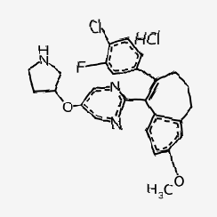 COc1ccc2c(c1)CCCC(c1ccc(Cl)c(F)c1)=C2c1ncc(OC2CCNC2)cn1.Cl